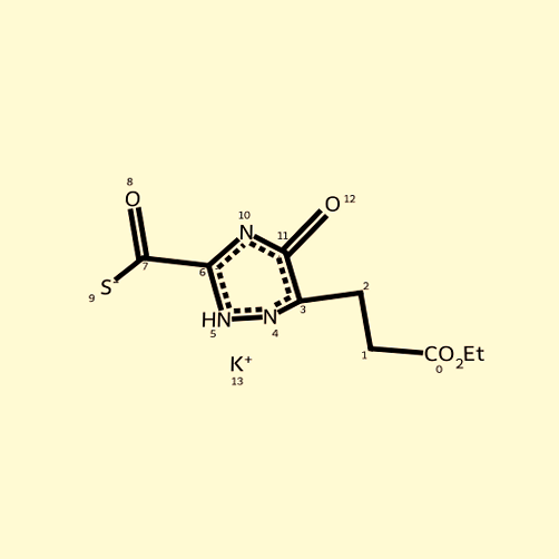 CCOC(=O)CCc1n[nH]c(C(=O)[S-])nc1=O.[K+]